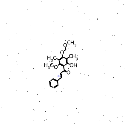 COCOc1c(C)c(O)c(C(=O)/C=C/c2ccccc2)c(OC)c1C